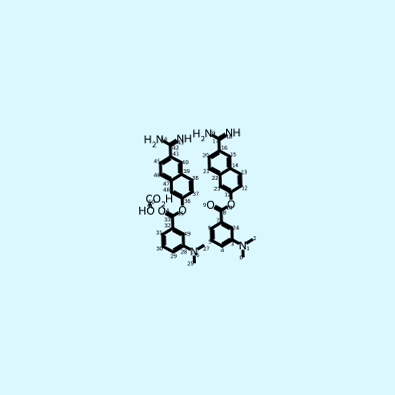 CN(C)c1cccc(C(=O)Oc2ccc3cc(C(=N)N)ccc3c2)c1.CN(C)c1cccc(C(=O)Oc2ccc3cc(C(=N)N)ccc3c2)c1.O=C(O)O